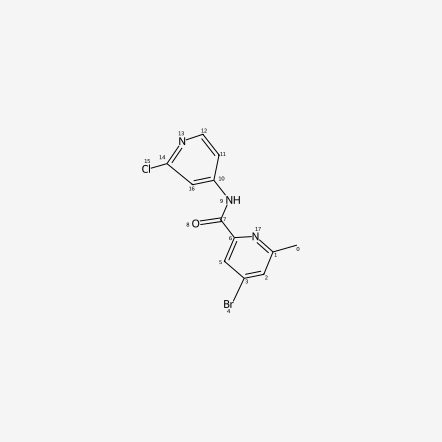 Cc1cc(Br)cc(C(=O)Nc2ccnc(Cl)c2)n1